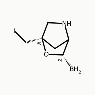 B[C@@H]1O[C@@]2(CI)CNC1C2